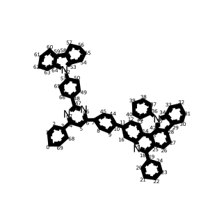 c1ccc(-c2cc(-c3ccc(-c4ccc5c(c4)nc(-c4ccccc4)c4ccc6c7ccccc7n(-c7ccccc7)c6c45)cc3)nc(-c3ccc(-n4c5ccccc5c5ccccc54)cc3)n2)cc1